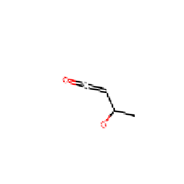 CC([O])C=C=O